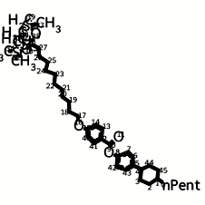 CCCCCC1CCC(c2ccc(OC(=O)c3ccc(OCCCCCCCCCCC[Si](C)(O[Si](C)(C)C)O[Si](C)(C)C)cc3)cc2)CC1